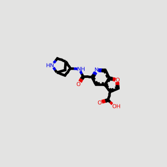 O=C(NC1CC2CC1CN2)c1cc2c(C(=O)O)coc2cn1